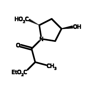 CCOC(=O)C(C)C(=O)N1C[C@H](O)C[C@H]1C(=O)O